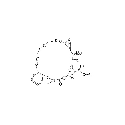 COC(=O)C1C[C@@H]2CN1C(=O)[C@H](C(C)(C)C)NC(=O)OCCCCCCOCc1cccc3c1CN(C3)C(=O)O2